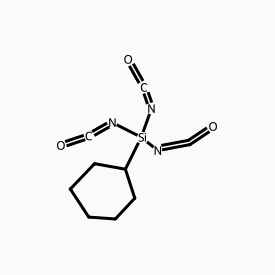 O=C=N[Si](N=C=O)(N=C=O)C1CCCCC1